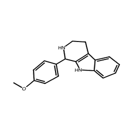 COc1ccc(C2NCCc3c2[nH]c2ccccc32)cc1